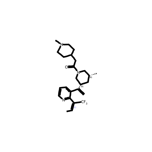 C=C(c1cccnc1/C(=C\C)C(F)(F)F)[C@H]1C[C@@H](C)CN(C(=O)CC2CCN(C)CC2)C1